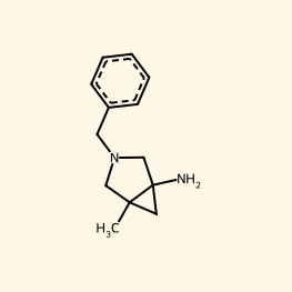 CC12CN(Cc3ccccc3)CC1(N)C2